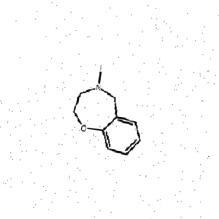 IN1CCOc2ccccc2C1